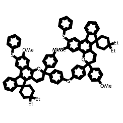 CCC1(CC)CCC2(CC1)c1ccccc1-c1c2c2c(c3cc(OC)c(Sc4ccccc4)cc13)OC(c1ccc(OC)cc1)(c1ccc(Sc3ccc(C4(c5ccc(OC)cc5)C=Cc5c6c(c7cc(Sc8ccccc8)c(OC)cc7c5O4)-c4ccccc4C64CCC(CC)(CC)CC4)cc3)cc1)C=C2